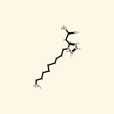 CCCCCCCCCCn1nnnc1CC(=O)O